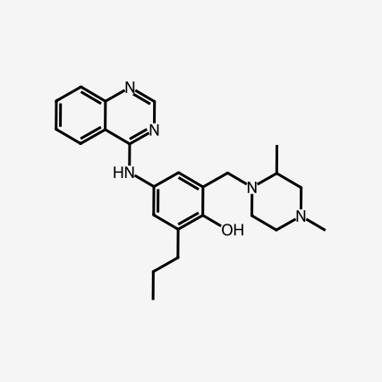 CCCc1cc(Nc2ncnc3ccccc23)cc(CN2CCN(C)CC2C)c1O